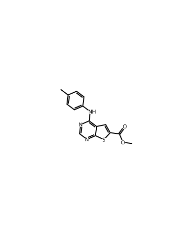 COC(=O)c1cc2c(Nc3ccc(C)cc3)ncnc2s1